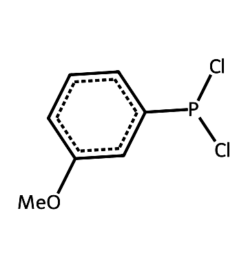 COc1cccc(P(Cl)Cl)c1